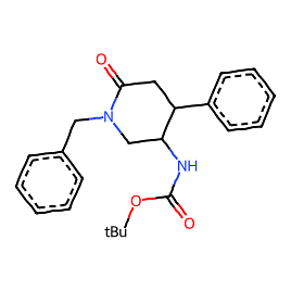 CC(C)(C)OC(=O)NC1CN(Cc2ccccc2)C(=O)CC1c1ccccc1